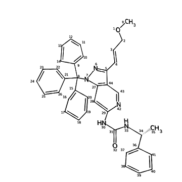 COCC=Cc1nn(C(c2ccccc2)(c2ccccc2)c2ccccc2)c2cc(NC(=O)N[C@H](C)c3ccccc3)ncc12